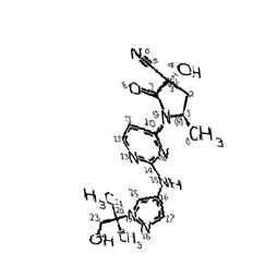 C[C@@H]1C[C@](O)(C#N)C(=O)N1c1ccnc(Nc2cnn(C(C)(C)CO)c2)n1